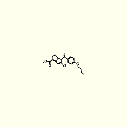 CCCCOc1ccc(C(=O)C2C(Cl)=CC3=C(C(=O)OC)CCN32)cc1